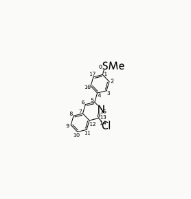 CSc1ccc(-c2cc3ccccc3c(Cl)n2)cc1